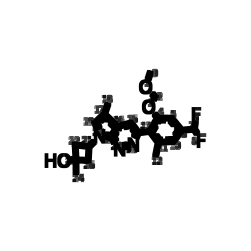 COCOc1cc(C(F)F)cc(C)c1-c1cc2c(C)cn(C3CC(C)(O)C3)c2nn1